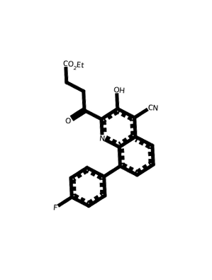 CCOC(=O)CCC(=O)c1nc2c(-c3ccc(F)cc3)cccc2c(C#N)c1O